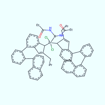 CCC(=O)N[B](NC(=O)CC)[Zr]([Cl])([Cl])([CH]1C(CC(C)C)=Cc2c(-c3ccccc3-c3cccc4ccccc34)cccc21)[CH]1C(CC(C)C)=Cc2c(-c3ccccc3-c3cccc4ccccc34)cccc21